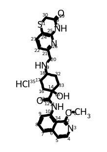 COc1nccc2cccc(NC(=O)C3(O)CCC(NCc4ccc5c(n4)NC(=O)CS5)CC3)c12.Cl